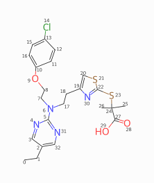 CCc1cnc(N(CCOc2ccc(Cl)cc2)CCc2csc(SC(C)(C)C(=O)O)n2)nc1